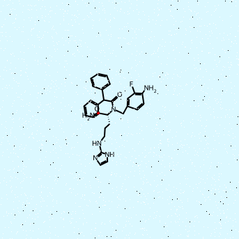 NC(=O)[C@@H](CCCNc1ncc[nH]1)N(Cc1ccc(N)c(F)c1)C(=O)C(c1ccccc1)c1ccccc1